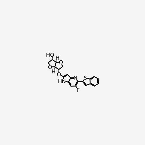 O[C@@H]1CO[C@H]2[C@@H]1OC[C@H]2Oc1cc2nc(-c3cc4ccccc4s3)c(F)cc2[nH]1